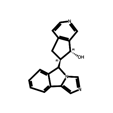 O[C@H]1c2cnccc2C[C@@H]1C1c2ccccc2-c2cncn21